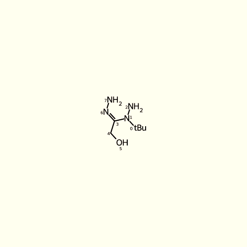 CC(C)(C)N(N)/C(CO)=N\N